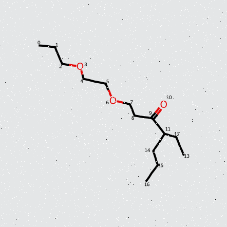 CCCOCCOCCC(=O)C(CC)CCC